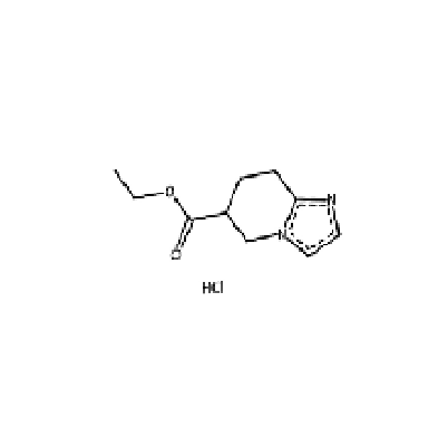 CCOC(=O)C1CCc2nccn2C1.Cl